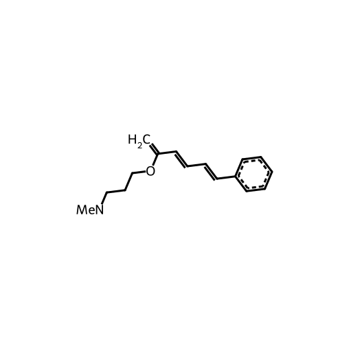 C=C(/C=C/C=C/c1ccccc1)OCCCNC